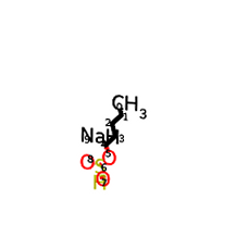 CCCCCO[SH](=O)=O.[NaH]